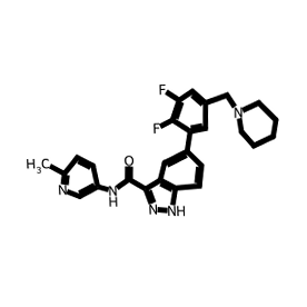 Cc1ccc(NC(=O)c2n[nH]c3ccc(-c4cc(CN5CCCCC5)cc(F)c4F)cc23)cn1